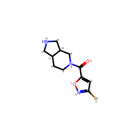 O=C(c1cc(Br)no1)N1CCC2CNCC2C1